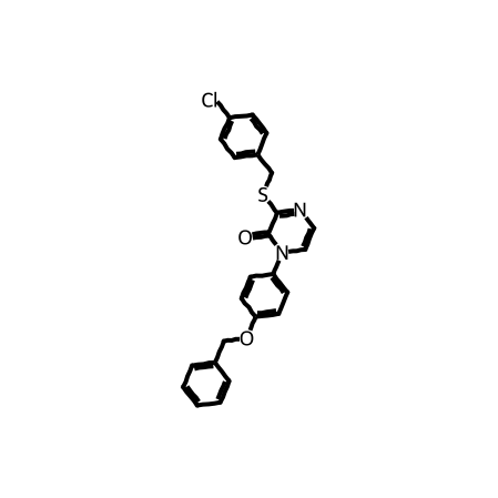 O=c1c(SCc2ccc(Cl)cc2)nccn1-c1ccc(OCc2ccccc2)cc1